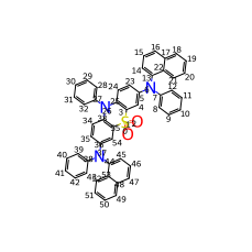 O=S1(=O)c2cc(N(c3ccccc3)c3cccc4ccccc34)ccc2N(c2ccccc2)c2ccc(N(c3ccccc3)c3cccc4ccccc34)cc21